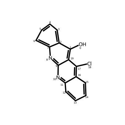 Oc1c2ccccc2nc2nc3ccccc3c(Cl)c12